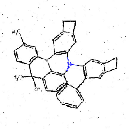 Cc1ccc2c(c1)B1c3cc4c(cc3N(c3cc5c(cc3-c3ccccc3)CC5)c3cccc(c31)C2(C)C)CC4